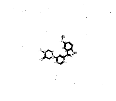 CCOc1ccc2[nH]nc(-c3cc(N4CCN(CC)C(=O)C4)ncn3)c2c1